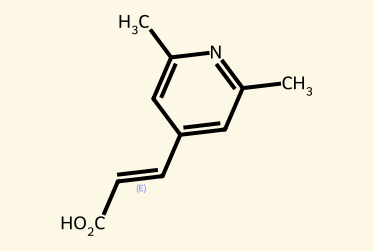 Cc1cc(/C=C/C(=O)O)cc(C)n1